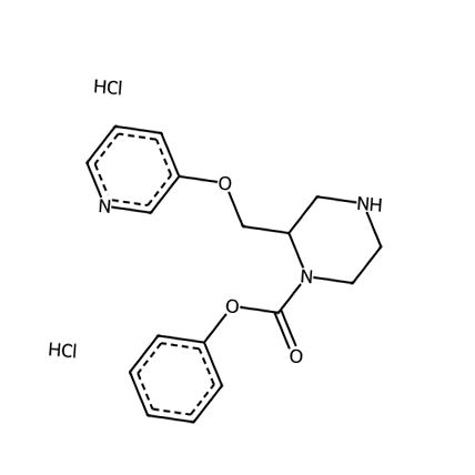 Cl.Cl.O=C(Oc1ccccc1)N1CCNCC1COc1cccnc1